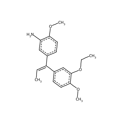 CC=C(c1ccc(OC)c(N)c1)c1ccc(OC)c(OCC)c1